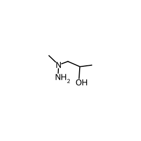 CC(O)CN(C)N